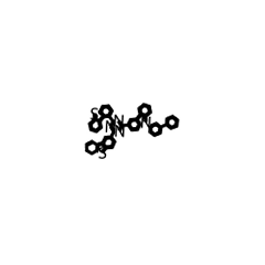 C1=Cc2c(sc3ccc(-c4nc(-c5ccc6c(c5)c5ccccc5n6-c5cccc(-c6ccccc6)c5)nc(-c5cccc6sc7ccccc7c56)n4)cc23)CC1